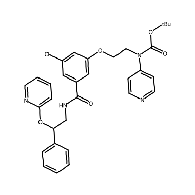 CC(C)(C)OC(=O)N(CCOc1cc(Cl)cc(C(=O)NCC(Oc2ccccn2)c2ccccc2)c1)c1ccncc1